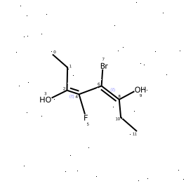 CC/C(O)=C(F)\C(Br)=C(\O)CC